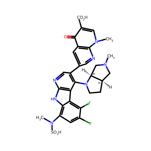 CN1C[C@H]2CCN(c3c(-c4cnc5c(c4)c(=O)c(C(=O)O)cn5C)cnc4[nH]c5c(N(C)S(=O)(=O)O)cc(F)c(F)c5c34)[C@H]2C1